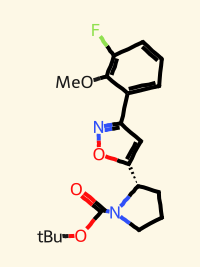 COc1c(F)cccc1-c1cc([C@@H]2CCCN2C(=O)OC(C)(C)C)on1